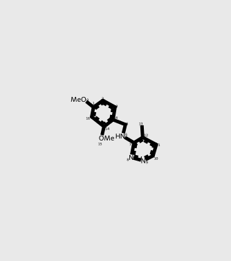 COc1ccc(CNc2nnccc2C)c(OC)c1